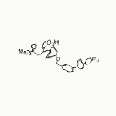 COC(=O)CC(C(=O)O)c1ccc(OCc2cccc(-c3ccc(C(F)(F)F)cc3)c2)cc1